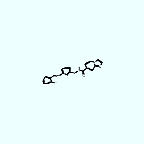 O=C(NCc1cccc(OCc2ccccc2F)c1)c1ccn2ccnc2c1